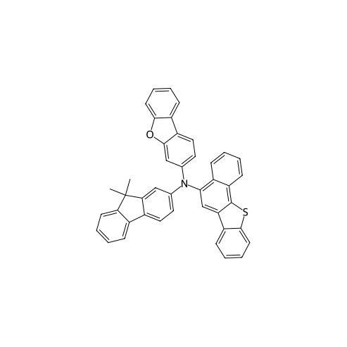 CC1(C)c2ccccc2-c2ccc(N(c3ccc4c(c3)oc3ccccc34)c3cc4c5ccccc5sc4c4ccccc34)cc21